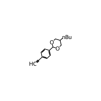 C#Cc1ccc(C2OCC(CCCC)CO2)cc1